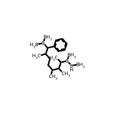 BBB(B)C(C)C(C)C(C)CCC(C)C(B(B)B)c1ccccc1